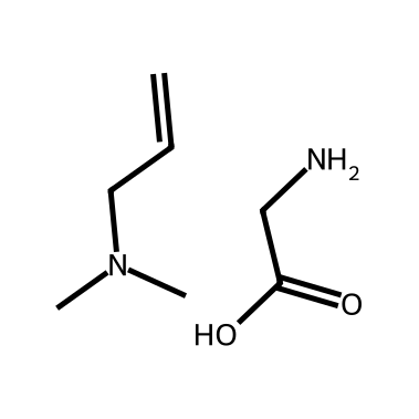 C=CCN(C)C.NCC(=O)O